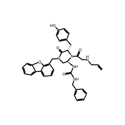 C=CCNCC(=O)N1[C@@H](NC(=O)NCc2ccccc2)CN(Cc2cccc3c2oc2ccccc23)C(=O)[C@@H]1Cc1ccc(O)cc1